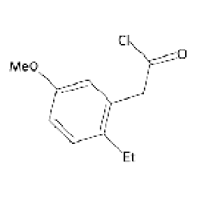 CCc1ccc(OC)cc1CC(=O)Cl